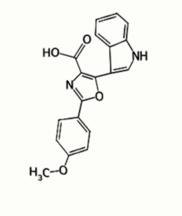 COc1ccc(-c2nc(C(=O)O)c(-c3c[nH]c4ccccc34)o2)cc1